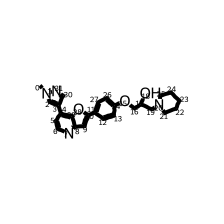 Cn1cc(-c2ccnc3cc(-c4ccc(OCC(O)CN5CCCCC5)cc4)oc23)cn1